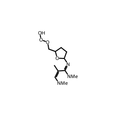 CN/C=C(C)\C(=N/C1CCC(COOO)O1)NC